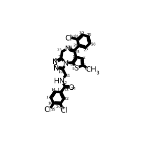 Cc1cc2c(s1)-n1c(nnc1CNC(=O)c1ccc(Cl)c(Cl)c1)CN=C2c1ccccc1Cl